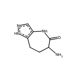 NC1CCc2[nH]ncc2NC1=O